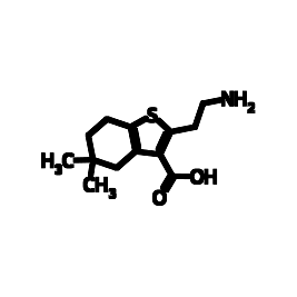 CC1(C)CCc2sc(CCN)c(C(=O)O)c2C1